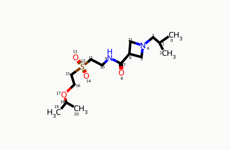 CC(C)CN1CC(C(=O)NCCS(=O)(=O)CCOC(C)C)C1